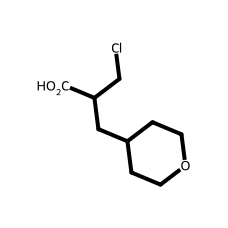 O=C(O)C(CCl)CC1CCOCC1